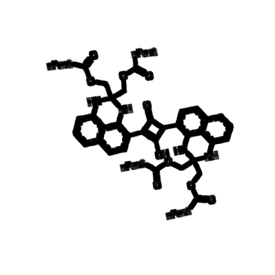 CCCCCC(=O)OCC1(COC(=O)CCCCC)Nc2cccc3ccc(C4=C(O)C(c5ccc6cccc7c6c5NC(COC(=O)CCCCC)(COC(=O)CCCCC)N7)C4=O)c(c23)N1